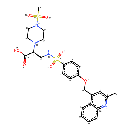 Cc1cc(COc2ccc(S(=O)(=O)NC[C@@H](C(=O)O)N3CCN(S(C)(=O)=O)CC3)cc2)c2ccccc2n1